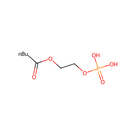 CCCCC(=O)OCCOP(=O)(O)O